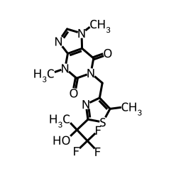 Cc1sc(C(C)(O)C(F)(F)F)nc1Cn1c(=O)c2c(ncn2C)n(C)c1=O